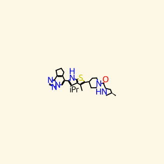 Cc1c(C2CCN(C(=O)C3C[C@@H](C)CN3)CC2)sc2[nH]c(-c3cn4ncnc4c4c3CCC4)c(C(C)C)c12